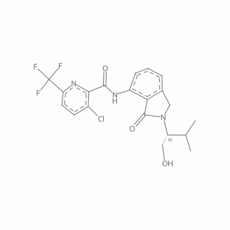 CC(C)[C@H](CO)N1Cc2cccc(NC(=O)c3nc(C(F)(F)F)ccc3Cl)c2C1=O